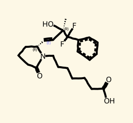 C[C@@](O)(/C=C/[C@H]1CCCC(=O)N1CCCCCCC(=O)O)C(F)(F)c1ccccc1